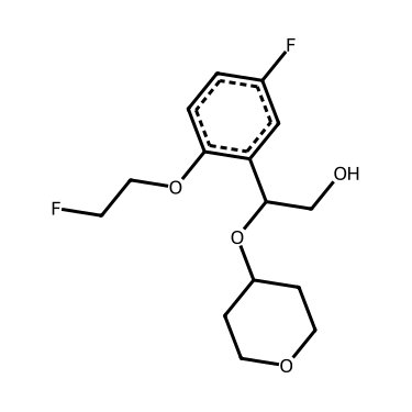 OCC(OC1CCOCC1)c1cc(F)ccc1OCCF